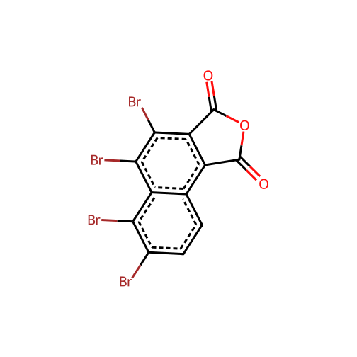 O=C1OC(=O)c2c1c(Br)c(Br)c1c(Br)c(Br)ccc21